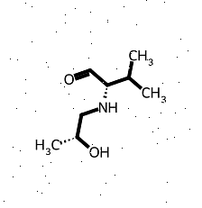 CC(C)[C@@H](C=O)NC[C@@H](C)O